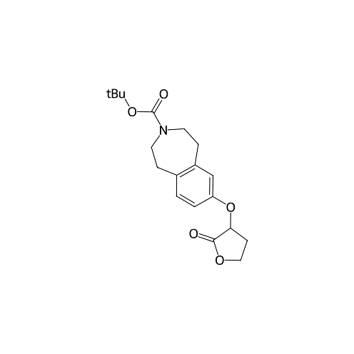 CC(C)(C)OC(=O)N1CCc2ccc(OC3CCOC3=O)cc2CC1